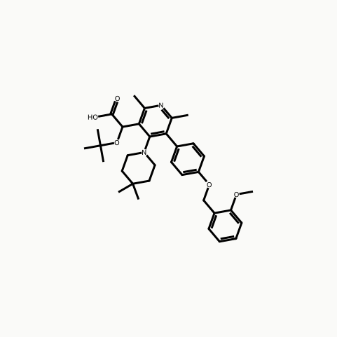 COc1ccccc1COc1ccc(-c2c(C)nc(C)c(C(OC(C)(C)C)C(=O)O)c2N2CCC(C)(C)CC2)cc1